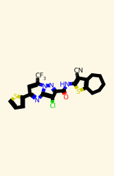 N#Cc1c(NC(=O)c2nn3c(C(F)(F)F)cc(-c4cccs4)nc3c2Cl)sc2c1CCCCC2